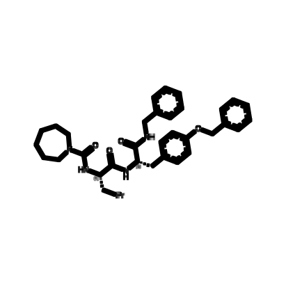 CC(C)C[C@H](NC(=O)N1CCCCCC1)C(=O)N[C@@H](Cc1ccc(OCc2ccccc2)cc1)C(=O)NCc1ccccc1